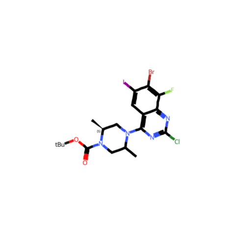 CC1CN(C(=O)OC(C)(C)C)[C@@H](C)CN1c1nc(Cl)nc2c(F)c(Br)c(I)cc12